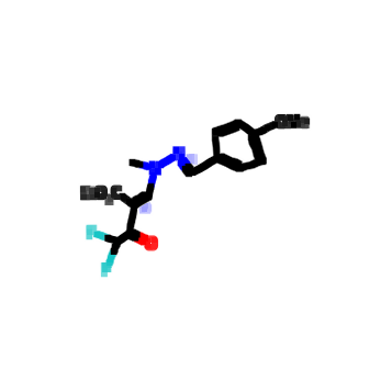 CCOC(=O)/C(=C\N(C)/N=C/c1ccc(OC)cc1)C(=O)C(F)F